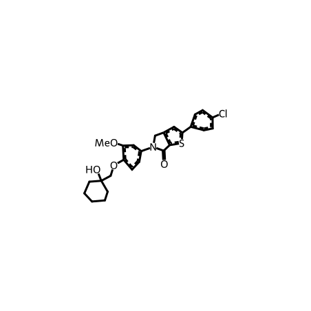 COc1cc(N2Cc3cc(-c4ccc(Cl)cc4)sc3C2=O)ccc1OCC1(O)CCCCC1